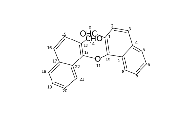 O=Cc1ccc2ccccc2c1Oc1c(C=O)ccc2ccccc12